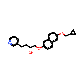 O[C@H](CCc1cccnc1)COc1ccc2cc(OCC3CC3)ccc2c1